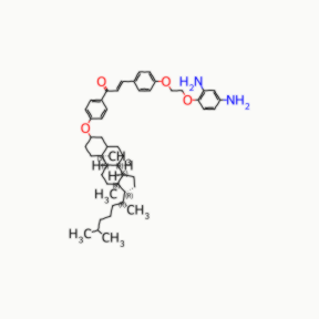 CC(C)CCC[C@@H](C)[C@H]1CC[C@H]2[C@@H]3CCC4CC(Oc5ccc(C(=O)C=Cc6ccc(OCCOc7ccc(N)cc7N)cc6)cc5)CC[C@]4(C)[C@H]3CC[C@]12C